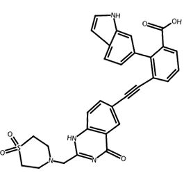 O=C(O)c1cccc(C#Cc2ccc3[nH]c(CN4CCS(=O)(=O)CC4)nc(=O)c3c2)c1-c1ccc2cc[nH]c2c1